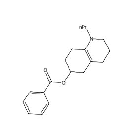 CCCN1CCCC2=C1CCC(OC(=O)c1ccccc1)C2